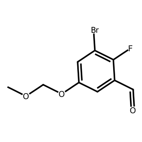 COCOc1cc(Br)c(F)c(C=O)c1